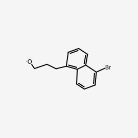 [O]CCCc1cccc2c(Br)cccc12